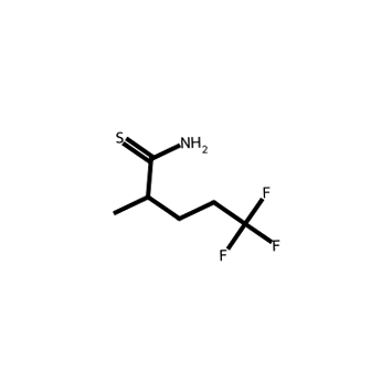 CC(CCC(F)(F)F)C(N)=S